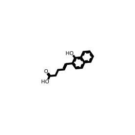 O=C(O)CC/C=C/c1ccc2ccccc2c1O